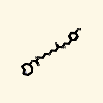 O=C(CCOCCNC(=O)OC1CC/C=C/CCC1)NCCc1ccc(O)cc1